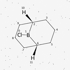 ClB1[C@H]2CCC[C@@H]1CCC2